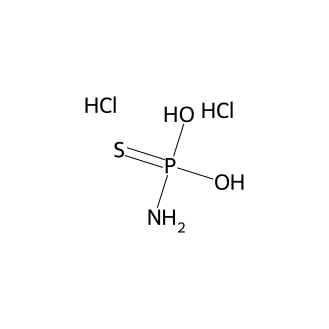 Cl.Cl.NP(O)(O)=S